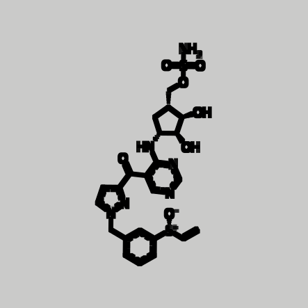 C=C[S@@+]([O-])c1cccc(Cn2ccc(C(=O)c3cncnc3N[C@@H]3C[C@H](COS(N)(=O)=O)[C@@H](O)[C@H]3O)n2)c1